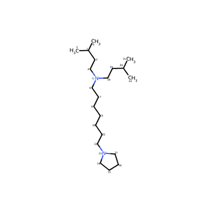 CC(C)CCN(CCCCCCCN1CCCC1)CCC(C)C